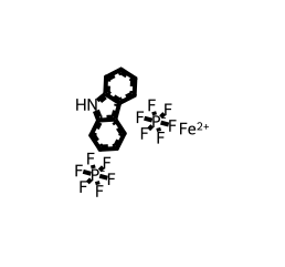 F[P-](F)(F)(F)(F)F.F[P-](F)(F)(F)(F)F.[Fe+2].c1ccc2c(c1)[nH]c1ccccc12